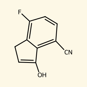 N#Cc1ccc(F)c2c1C(O)=CC2